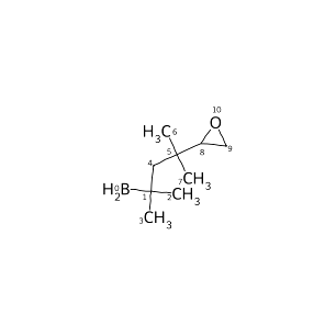 BC(C)(C)CC(C)(C)C1CO1